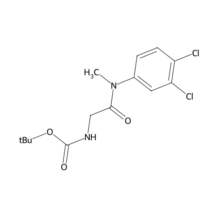 CN(C(=O)CNC(=O)OC(C)(C)C)c1ccc(Cl)c(Cl)c1